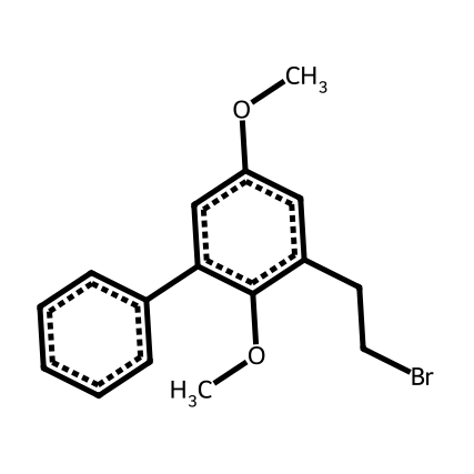 COc1cc(CCBr)c(OC)c(-c2ccccc2)c1